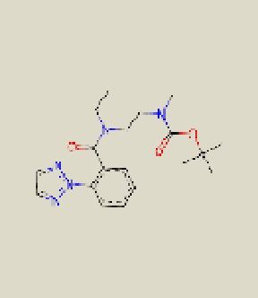 CCN(CCN(C)C(=O)OC(C)(C)C)C(=O)c1ccccc1-n1nccn1